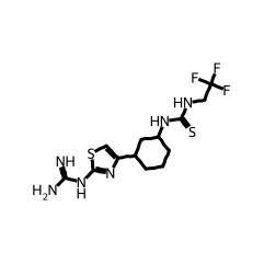 N=C(N)Nc1nc(C2CCCC(NC(=S)NCC(F)(F)F)C2)cs1